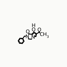 CC(=O)c1cn2c(c1O)C(=O)N(Cc1ccccc1)CC2